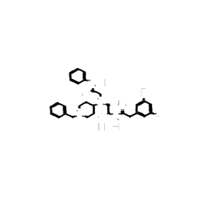 C[C@H](NC(=O)Cc1cc(F)cc(F)c1)C(=O)N(CC(=O)Nc1ccccc1)C1CCN(Cc2ccccc2)CC1